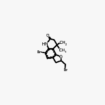 CC1(C)CC(=O)Nc2c(Br)cc3c(c21)OC(CBr)C3